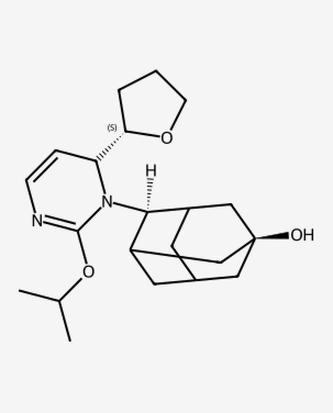 CC(C)OC1=NC=CC([C@@H]2CCCO2)N1[C@H]1C2CC3CC1C[C@@](O)(C3)C2